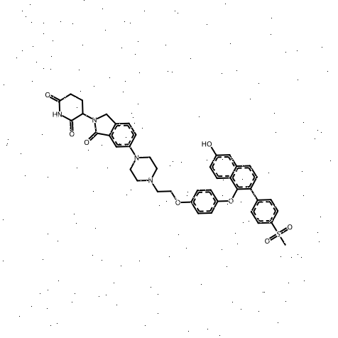 CS(=O)(=O)c1ccc(-c2ccc3cc(O)ccc3c2Oc2ccc(OCCN3CCN(c4ccc5c(c4)C(=O)N(C4CCC(=O)NC4=O)C5)CC3)cc2)cc1